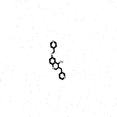 OC1c2cc(OCc3ccncc3)ccc2OCC1Cc1cccnc1